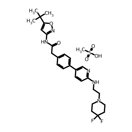 CC(C)(C)c1cc(NC(=O)Cc2ccc(-c3ccc(NCCN4CCC(F)(F)CC4)nc3)cc2)no1.CS(=O)(=O)O